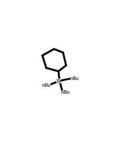 CCCC[Si](CCCC)(CCCC)C1CCCCC1